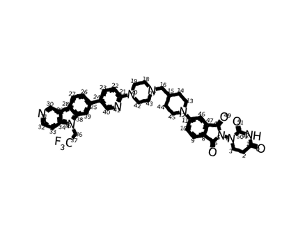 O=C1CCN(N2C(=O)c3ccc(N4CCC(CN5CCN(c6ccc(-c7ccc8c9cnccc9n(CC(F)(F)F)c8c7)cn6)CC5)CC4)cc3C2=O)C(=O)N1